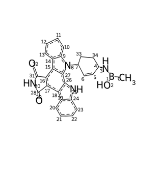 CB(O)N[C@H]1C=CC(n2c3ccccc3c3c4c(c5c6ccccc6[nH]c5c32)C(=O)NC4=O)CC1